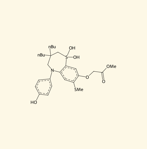 CCCCC1(CCCC)CN(c2ccc(O)cc2)c2cc(SC)c(OCC(=O)OC)cc2S(O)(O)C1